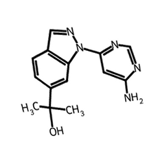 CC(C)(O)c1ccc2cnn(-c3cc(N)ncn3)c2c1